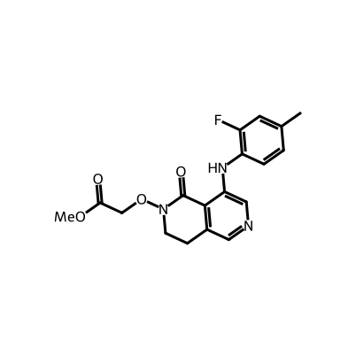 COC(=O)CON1CCc2cncc(Nc3ccc(C)cc3F)c2C1=O